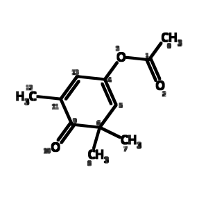 CC(=O)OC1=CC(C)(C)C(=O)C(C)=C1